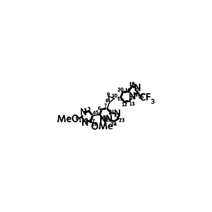 COc1ncc(-c2cc(C3C[C@@H]3c3ccn4c(C(F)(F)F)ncc4c3)c3nccn3n2)c(OC)n1